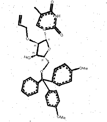 C=CCO[C@@H]1[C@H](O)[C@@H](COC(c2ccccc2)(c2ccc(OC)cc2)c2ccc(OC)cc2)O[C@H]1n1cc(C)c(=O)[nH]c1=O